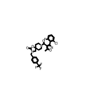 Cc1onc(-c2c(F)cccc2Cl)c1C(=O)N1CCC2(CC1)CN(Cc1ccc(C(F)(F)F)cc1)C(=O)O2